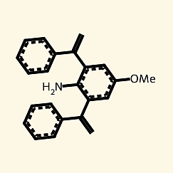 C=C(c1ccccc1)c1cc(OC)cc(C(=C)c2ccccc2)c1N